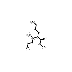 CC(C)(C)OC(=O)[C@H](CCCC(F)(F)F)[C@@H](CCC(F)(F)F)C(=O)O